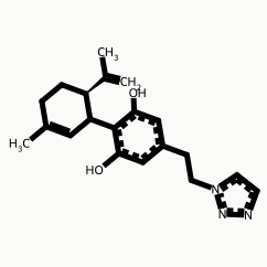 C=C(C)[C@@H]1CCC(C)=CC1c1c(O)cc(CCn2ccnn2)cc1O